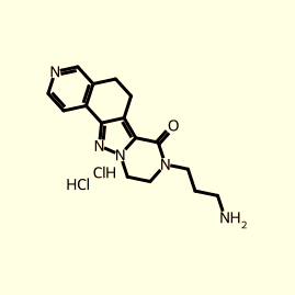 Cl.Cl.NCCCN1CCn2nc3c(c2C1=O)CCc1cnccc1-3